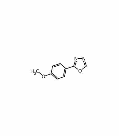 COc1ccc(-c2nn[c]o2)cc1